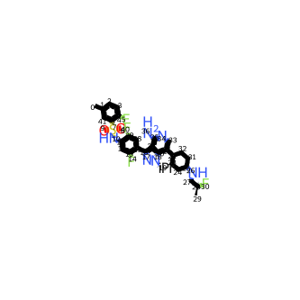 Cc1ccc(F)c(S(=O)(=O)Nc2cc(F)c(-c3nn(C(C)C)c4c(C5CCC(NC[C@H](C)F)CC5)cnc(N)c34)cc2F)c1